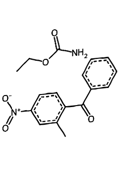 CCOC(N)=O.Cc1cc([N+](=O)[O-])ccc1C(=O)c1ccccc1